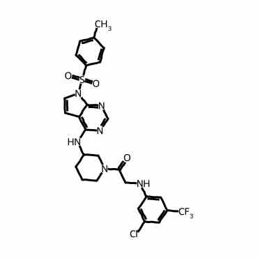 Cc1ccc(S(=O)(=O)n2ccc3c(NC4CCCN(C(=O)CNc5cc(Cl)cc(C(F)(F)F)c5)C4)ncnc32)cc1